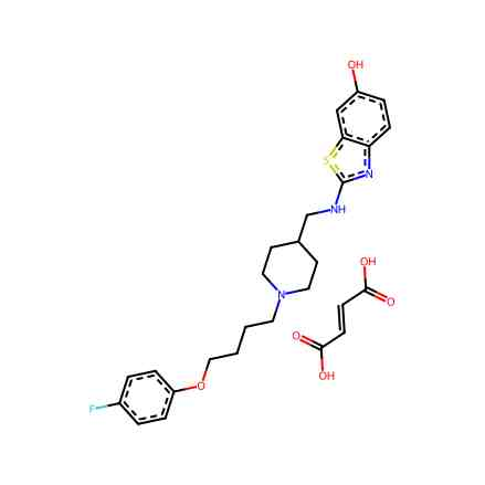 O=C(O)C=CC(=O)O.Oc1ccc2nc(NCC3CCN(CCCCOc4ccc(F)cc4)CC3)sc2c1